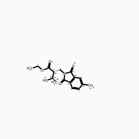 CCOC(=O)[C@H](CN1C(=O)c2ccc(C)cc2C1=O)[C@@H](C)O